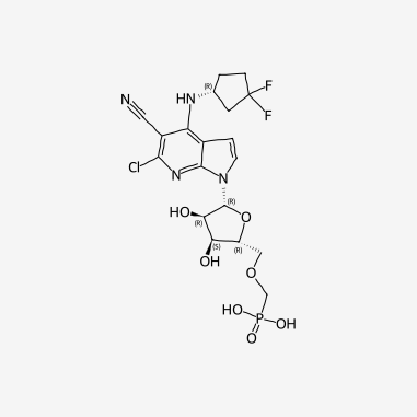 N#Cc1c(Cl)nc2c(ccn2[C@@H]2O[C@H](COCP(=O)(O)O)[C@@H](O)[C@H]2O)c1N[C@@H]1CCC(F)(F)C1